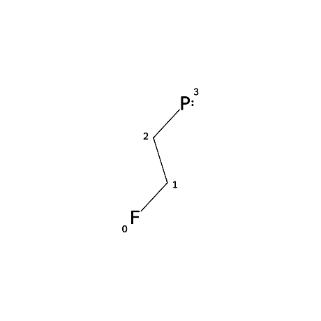 FCC[P]